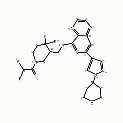 O=C(C(F)F)N1CCC(F)(F)C(CNc2nc(-c3cnn(C4CCOCC4)c3)cc3nccnc23)C1